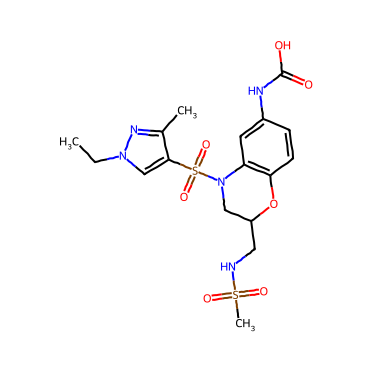 CCn1cc(S(=O)(=O)N2CC(CNS(C)(=O)=O)Oc3ccc(NC(=O)O)cc32)c(C)n1